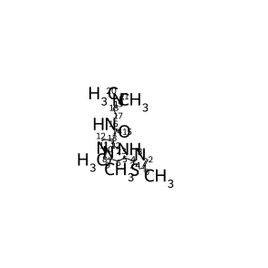 Cc1cnc(C2CC(C)(C)n3ncc(C(=O)NCCN(C)C)c3N2)s1